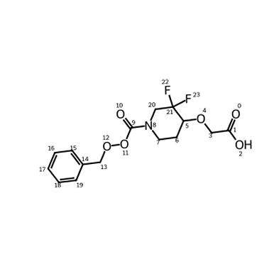 O=C(O)COC1CCN(C(=O)OOCc2ccccc2)CC1(F)F